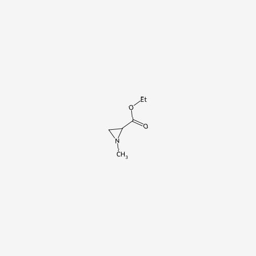 CCOC(=O)C1CN1C